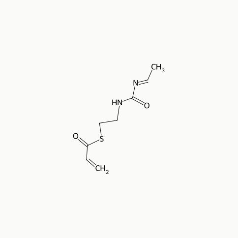 C=CC(=O)SCCNC(=O)N=CC